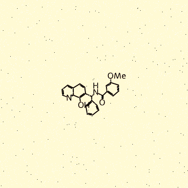 COc1cccc(C(=O)NC(c2ccccc2)c2ccc3cccnc3c2O)c1